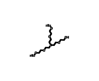 CCCCOCCOCCN(CCOCCO)CCOCCOCCCC